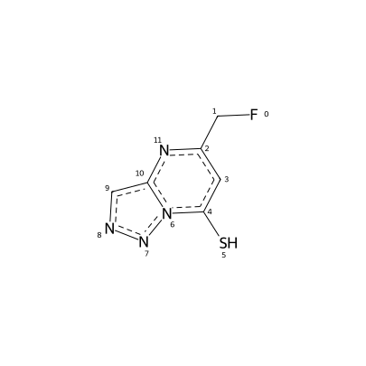 FCc1cc(S)n2nncc2n1